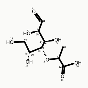 CC(O[C@@H]([C@H](O)[C@@H](O)C=O)[C@H](O)CO)C(=O)O